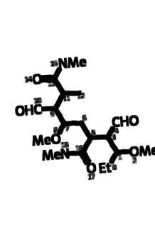 CCC(OC)C(C=O)C(CC(OC)C(C=O)C(C)C(=O)NC)C(=O)NC